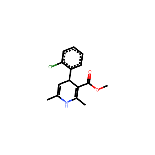 COC(=O)C1=C(C)NC(C)=CC1c1ccccc1Cl